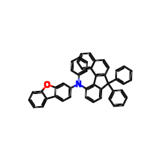 c1ccc(N(c2ccc3c(c2)oc2ccccc23)c2cccc3c2-c2c(ccc4ccccc24)C3(c2ccccc2)c2ccccc2)cc1